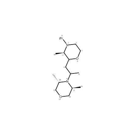 CC(C)N1CCOC(CC(C)N2[C@@H](C)COC[C@@H]2C)[C@H]1C